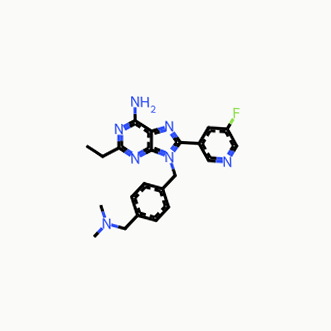 CCc1nc(N)c2nc(-c3cncc(F)c3)n(Cc3ccc(CN(C)C)cc3)c2n1